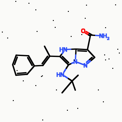 CC(=Cc1ccccc1)c1[nH]c2c(C(N)=O)cnn2c1NC(C)(C)C